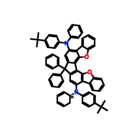 CC(C)(C)c1ccc(N(c2ccccc2)c2cc3c(c4oc5ccccc5c24)-c2c(cc(N(c4ccc(C(C)(C)C)cc4)[C@H]4C=CC=CC4)c4c2oc2ccccc24)C3(c2ccccc2)c2ccccc2)cc1